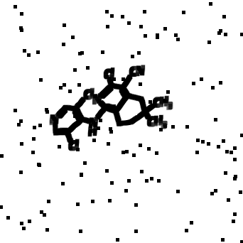 CC1(C)CCc2c(Nc3c(Cl)cncc3Cl)nc(Cl)c(C#N)c2C1